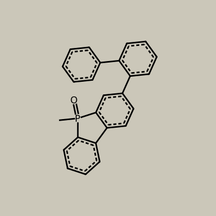 CP1(=O)c2ccccc2-c2ccc(-c3ccccc3-c3ccccc3)cc21